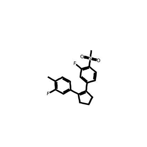 Cc1ccc(C2=C(c3ccc(S(C)(=O)=O)c(F)c3)CCC2)cc1F